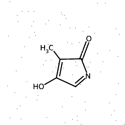 CC1=C(O)C=NC1=O